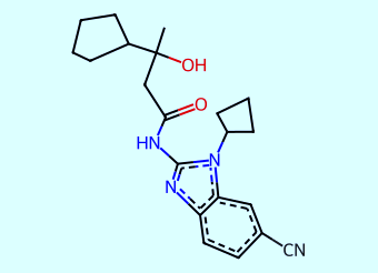 CC(O)(CC(=O)Nc1nc2ccc(C#N)cc2n1C1CCC1)C1CCCC1